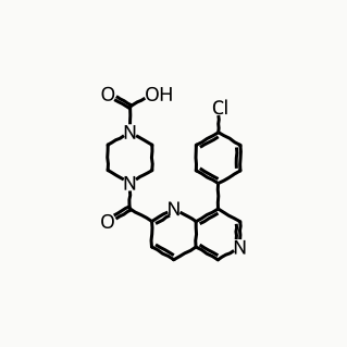 O=C(O)N1CCN(C(=O)c2ccc3cncc(-c4ccc(Cl)cc4)c3n2)CC1